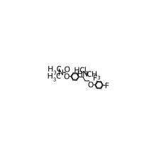 CNC(CCOc1ccc(F)cc1F)c1ccc(OC(=O)N(C)C)cc1.Cl